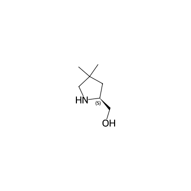 CC1(C)CN[C@H](CO)C1